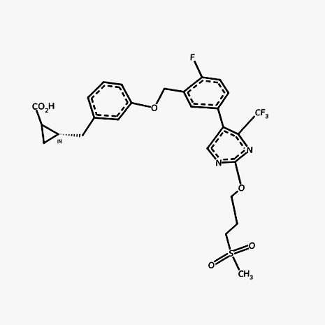 CS(=O)(=O)CCCOc1ncc(-c2ccc(F)c(COc3cccc(C[C@@H]4CC4C(=O)O)c3)c2)c(C(F)(F)F)n1